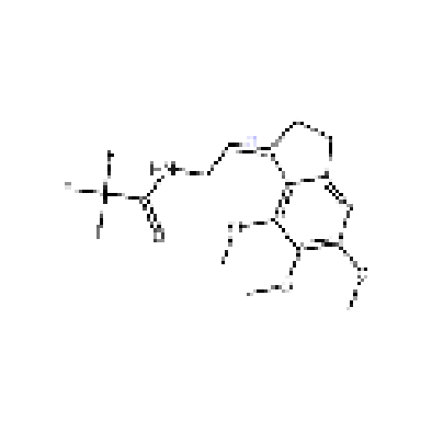 COc1cc2c(c(OC)c1OC)/C(=C\CNC(=O)C(F)(F)F)CC2